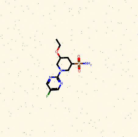 CCOC1CC(S(N)(=O)=O)CN(c2ncc(F)cn2)C1